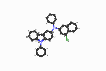 Brc1cc(N(c2ccccc2)c2ccc3c(c2)c2ccccc2n3-c2ccccc2)cc2ccccc12